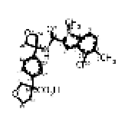 Cc1ccc2c(cc(C(=O)NC3(c4ccc(C5(C(=O)O)CCOC5)cc4)COC3)n2C)c1Cl